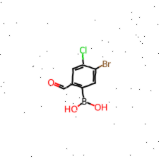 O=Cc1cc(Cl)c(Br)cc1B(O)O